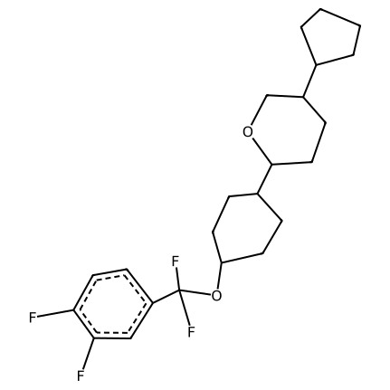 Fc1ccc(C(F)(F)OC2CCC(C3CCC(C4CCCC4)CO3)CC2)cc1F